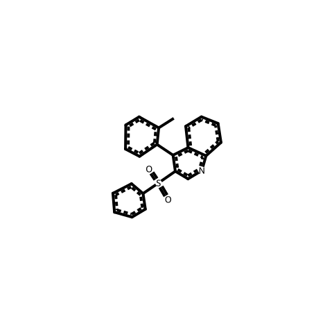 Cc1ccccc1-c1c(S(=O)(=O)c2ccccc2)cnc2ccccc12